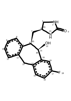 O=C1NC[C@H](C[C@@H]2c3ccccc3Cc3ccc(F)cc3[C@@H]2O)N1